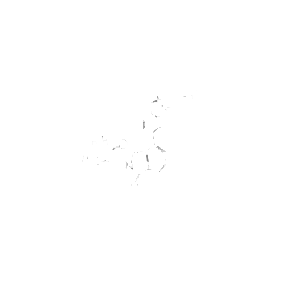 C=C(CN1Cc2c(cccc2-c2ccc3cnn(CCF)c3c2)C1=O)C(N)=O